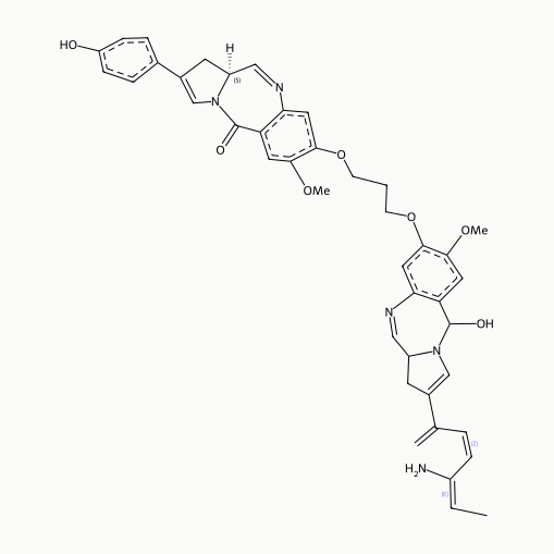 C=C(/C=C\C(N)=C/C)C1=CN2C(C=Nc3cc(OCCCOc4cc5c(cc4OC)C(=O)N4C=C(c6ccc(O)cc6)C[C@H]4C=N5)c(OC)cc3C2O)C1